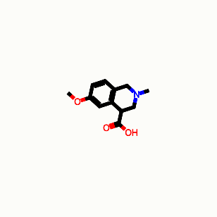 COc1ccc2c(c1)C(C(=O)O)CN(C)C2